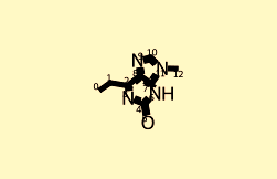 CCc1nc(=O)[nH]c2c1ncn2C